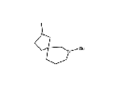 CN1CCC2(CCCN(C(C)(C)C)C2)C1